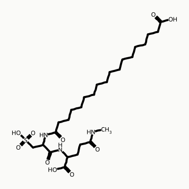 CNC(=O)CCC(NC(=O)C(CS(=O)(=O)O)NC(=O)CCCCCCCCCCCCCCCCC(=O)O)C(=O)O